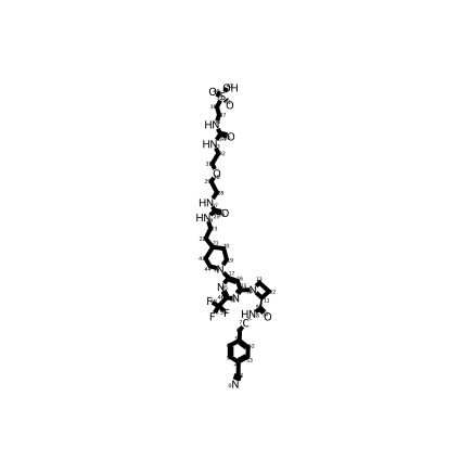 N#Cc1ccc(CCNC(=O)[C@@H]2CCN2c2cc(N3CCC(CCNC(=O)NCCOCCNC(=O)NCCS(=O)(=O)O)CC3)nc(C(F)(F)F)n2)cc1